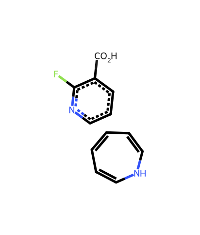 C1=CC=CNC=C1.O=C(O)c1cccnc1F